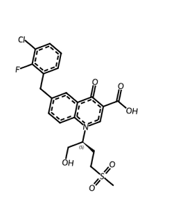 CS(=O)(=O)CC[C@@H](CO)n1cc(C(=O)O)c(=O)c2cc(Cc3cccc(Cl)c3F)ccc21